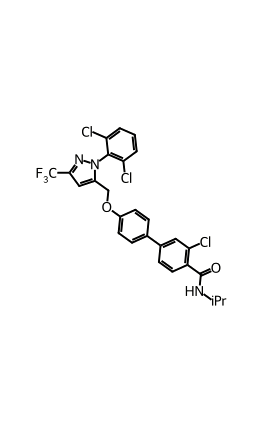 CC(C)NC(=O)c1ccc(-c2ccc(OCc3cc(C(F)(F)F)nn3-c3c(Cl)cccc3Cl)cc2)cc1Cl